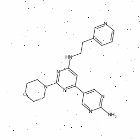 Nc1ncc(-c2cc(NCCc3cccnc3)nc(N3CCOCC3)n2)cn1